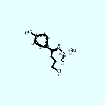 CC(C)(C)c1ccc(C(CCCCl)=N[S@@+]([O-])C(C)(C)C)cc1